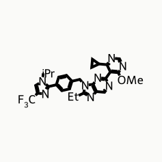 CCc1nc2cnc(-c3c(OC)ncnc3C3CC3)nc2n1Cc1ccc(-c2nc(C(F)(F)F)cn2C(C)C)cc1